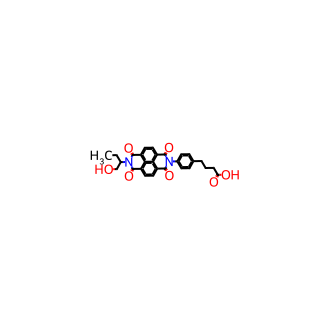 CCC(CO)N1C(=O)c2ccc3c4c(ccc(c24)C1=O)C(=O)N(c1ccc(CCCC(=O)O)cc1)C3=O